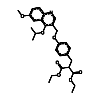 CCOC(=O)C(Cc1ccc(OCc2cnc3ccc(OC)cc3c2OC(C)C)cc1)C(=O)OCC